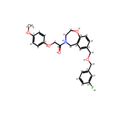 COc1ccc(OCC(=O)N2CCOc3ccc(COCc4cccc(F)c4)cc3C2)cc1